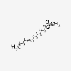 CCC=CC#CCCCCCCCCOC(C)=O